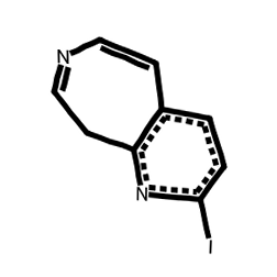 Ic1ccc2c(n1)CC=NC=C2